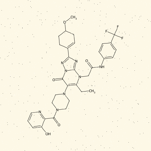 CCc1c(N2CCN(C(=O)c3ncccc3O)CC2)c(=O)n2nc(C3=CCC(OC)CC3)nc2n1CC(=O)Nc1ccc(C(F)(F)F)cc1